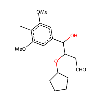 COc1cc(C(O)C(CC=O)OC2CCCC2)cc(OC)c1C